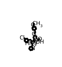 COc1ccc(CO[C@@H]2C[C@@H](C(=O)O)N(C(=O)C(Cc3cccc(Cl)c3)NC(=O)c3ccccn3)C2)cc1